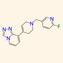 Fc1ccc(CN2CC=C(c3cccn4cnnc34)CC2)cn1